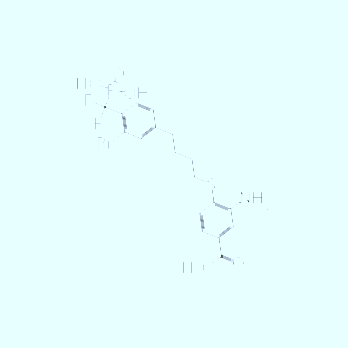 CC(=O)c1ccc(SCCCCc2ccc(C(F)(F)P(=O)(O)O)c(Br)c2)c(N)c1